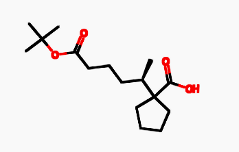 C[C@H](CCCC(=O)OC(C)(C)C)C1(C(=O)O)CCCC1